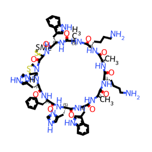 CSSC1NC(=O)[C@H](Cc2c[nH]c3ccccc23)NC(=O)[C@H](C)NC(=O)[C@H](CCCCN)NC(=O)[C@H](C)NC(=O)[C@H](CCCCN)NC(=O)[C@H](C)NC(=O)[C@H](Cc2c[nH]c3ccccc23)NC(=O)[C@H](Cc2c[nH]cn2)NC(=O)[C@@H](Cc2ccccc2)NC(=O)[C@H](Cc2c[nH]cn2)N[C@@H]2CSCN2C1=O